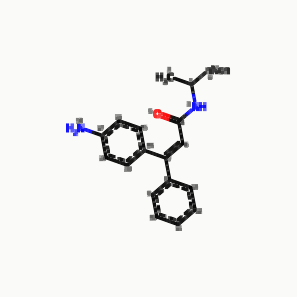 CCCCCCCCCC(C)NC(=O)/C=C(/c1ccccc1)c1ccc(N)cc1